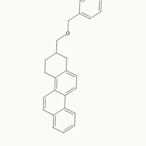 c1ccc(COCC2CCc3c(ccc4c3ccc3ccccc34)C2)cc1